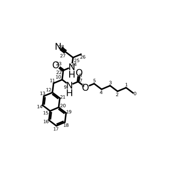 CCCCCCOC(=O)NC(Cc1ccc2ccccc2c1)C(=O)NC(C)C#N